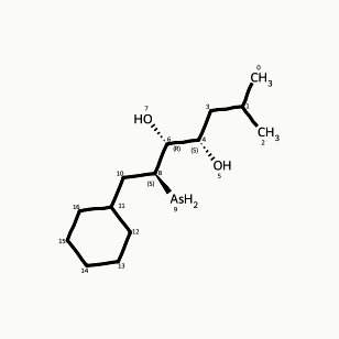 CC(C)C[C@H](O)[C@@H](O)[C@@H]([AsH2])CC1CCCCC1